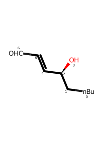 CCCCC[C@H](O)C=CC=O